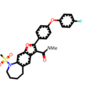 CNC(=O)c1c(-c2ccc(Oc3ccc(F)cc3)cc2)oc2cc3c(cc12)CCCCN3S(C)(=O)=O